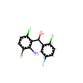 Nc1c(Br)ccc(Cl)c1C(O)c1cc(F)ccc1Cl